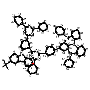 CC(C)(C)c1ccc2c(c1)c1ccccc1n2-c1ccc(-c2nc(-c3ccccc3)nc(-c3ccccc3)n2)cc1-c1nc(-c2ccccc2)nc(-c2ccc(-c3cc4c5c(c3)N(c3ccccc3)c3ccccc3B5c3ccccc3N4c3ccccc3)cc2)n1